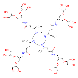 O=C(CCC(C(=O)O)N1CCN(C(CCC(=O)NCC(COC(CO)CO)COC(CO)CO)C(=O)O)CCN(C(CCC(=O)NCC(COC(CO)CO)COC(CO)CO)C(=O)O)CCN(C(CCC(=O)NCC(COC(CO)CO)COC(CO)CO)C(=O)O)CC1)NCC(COC(CO)CO)COC(CO)CO